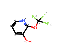 Oc1cccnc1OC(F)(F)F